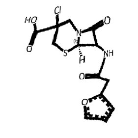 O=C(Cc1ccco1)NC1C(=O)N2CC(Cl)(C(=O)O)CS[C@H]12